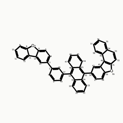 c1cc(-c2ccc3oc4ccccc4c3c2)cc(-c2c3ccccc3c(-c3ccc4oc5ccc6ccccc6c5c4c3)c3ccccc23)c1